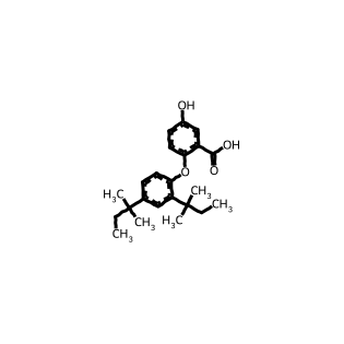 CCC(C)(C)c1ccc(Oc2ccc(O)cc2C(=O)O)c(C(C)(C)CC)c1